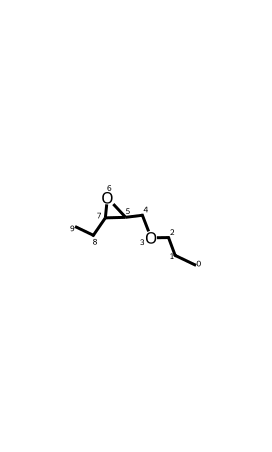 CCCOCC1OC1CC